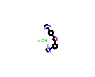 Cl.Cl.c1cc(C2=NCCN2)cc(-c2cc(-c3ccc(C4=NCCN4)cc3)no2)c1